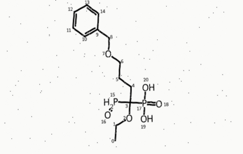 CCOC(CCCOCc1ccccc1)([PH2]=O)P(=O)(O)O